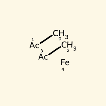 CC(C)=O.CC(C)=O.[Fe]